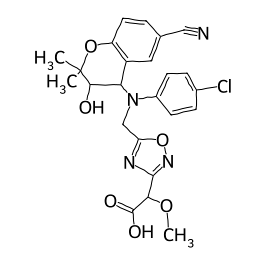 COC(C(=O)O)c1noc(CN(c2ccc(Cl)cc2)C2c3cc(C#N)ccc3OC(C)(C)C2O)n1